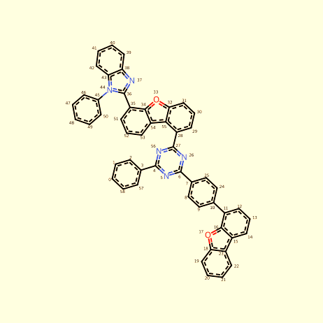 c1ccc(-c2nc(-c3ccc(-c4cccc5c4oc4ccccc45)cc3)nc(-c3cccc4oc5c(-c6nc7ccccc7n6-c6ccccc6)cccc5c34)n2)cc1